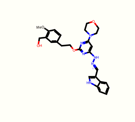 COc1ccc(CCOc2nc(N/N=C/c3c[nH]c4ccccc34)cc(N3CCOCC3)n2)cc1CO